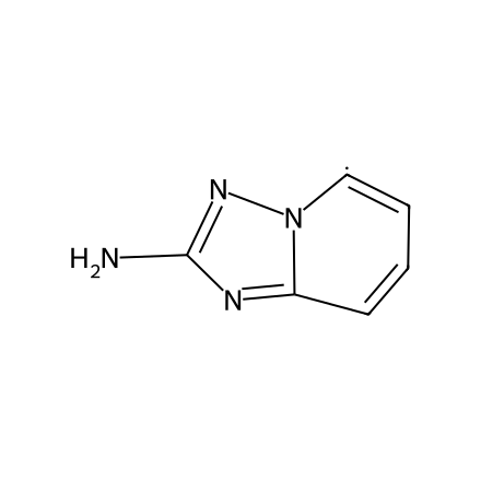 Nc1nc2ccc[c]n2n1